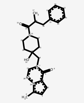 Cc1ccc2c(=O)n(CC3(O)CCN(C(=O)C(C)Cc4ccccc4)CC3)cnn12